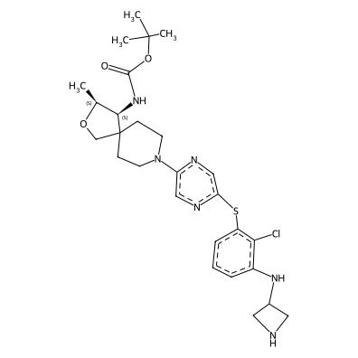 C[C@@H]1OCC2(CCN(c3cnc(Sc4cccc(NC5CNC5)c4Cl)cn3)CC2)[C@@H]1NC(=O)OC(C)(C)C